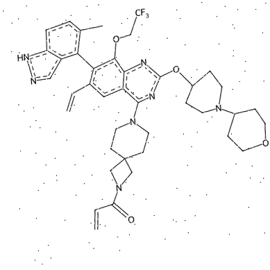 C=CC(=O)N1CC2(CCN(c3nc(OC4CCN(C5CCOCC5)CC4)nc4c(OCC(F)(F)F)c(-c5c(C)ccc6[nH]ncc56)c(C=C)cc34)CC2)C1